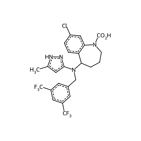 Cc1cc(N(Cc2cc(C(F)(F)F)cc(C(F)(F)F)c2)C2CCCN(C(=O)O)c3cc(Cl)ccc32)n[nH]1